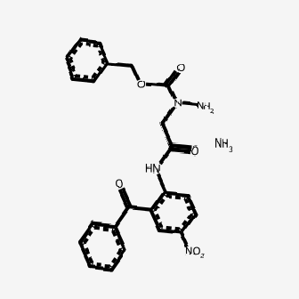 N.NN(CC(=O)Nc1ccc([N+](=O)[O-])cc1C(=O)c1ccccc1)C(=O)OCc1ccccc1